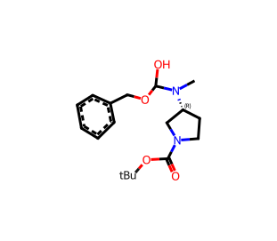 CN(C(O)OCc1ccccc1)[C@@H]1CCN(C(=O)OC(C)(C)C)C1